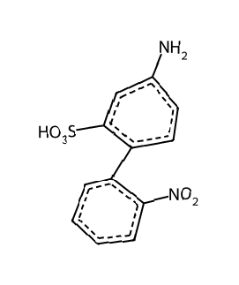 Nc1ccc(-c2ccccc2[N+](=O)[O-])c(S(=O)(=O)O)c1